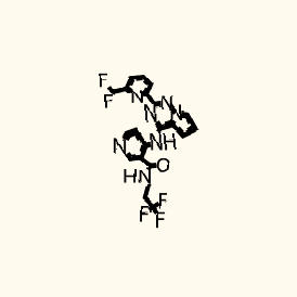 O=C(NCCC(F)(F)F)c1cnccc1Nc1nc(-c2cccc(C(F)F)n2)nn2cccc12